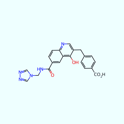 O=C(O)c1ccc(Cc2cnc3ccc(C(=O)NCn4cnnc4)cc3c2O)cc1